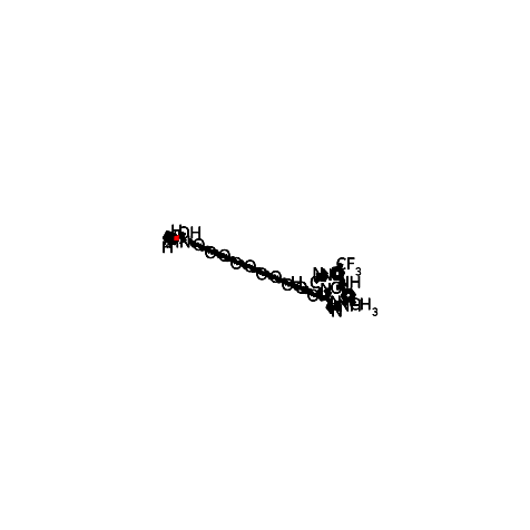 Cc1cn(-c2cc(NC(=O)c3ccc(C)c(Nc4nccc(-c5cncc(OCCOCCOCCOCCOCCOCCOCCOCCOCCOCCNC(O)[C@H]6C[C@H]7C=C[C@@H]6C7)c5)n4)c3)cc(C(F)(F)F)c2)cn1